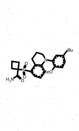 CCC(C)c1ccc(OC)c(N2CCCc3c2cccc3S(=O)(=O)C2(C(N)=O)CCC2)c1